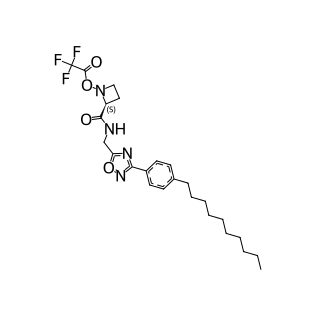 CCCCCCCCCCc1ccc(-c2noc(CNC(=O)[C@@H]3CCN3OC(=O)C(F)(F)F)n2)cc1